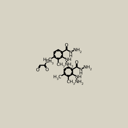 CC(=O)C=O.Cc1ccc(C(=O)NN)c(NN)c1C.Cc1ccc(C(=O)NN)c(NN)c1C